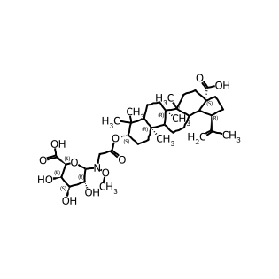 C=C(C)[C@@H]1CC[C@]2(C(=O)O)CC[C@]3(C)C(CCC4[C@@]5(C)CC[C@H](OC(=O)CN(OC)C6O[C@H](C(=O)O)[C@H](O)[C@H](O)[C@H]6O)C(C)(C)C5CC[C@]43C)C12